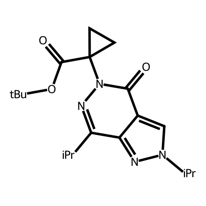 CC(C)c1nn(C2(C(=O)OC(C)(C)C)CC2)c(=O)c2cn(C(C)C)nc12